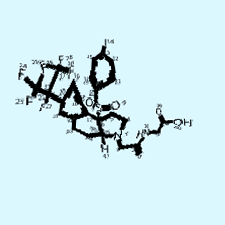 C=C(CN1CC[C@@]2(S(=O)(=O)c3ccc(I)cc3)c3ccc(C(F)(C(F)(F)F)C(F)(F)F)cc3CC[C@@H]12)NCC(=O)O